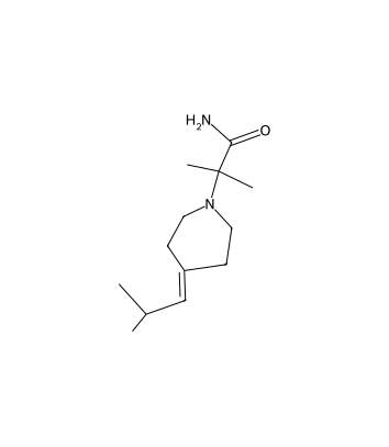 CC(C)C=C1CCN(C(C)(C)C(N)=O)CC1